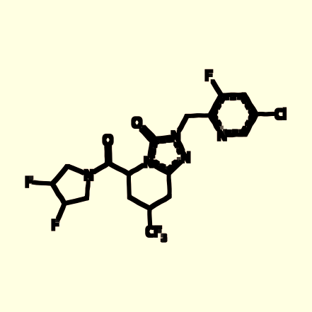 O=C(C1CC(C(F)(F)F)Cc2nn(Cc3ncc(Cl)cc3F)c(=O)n21)N1CC(F)C(F)C1